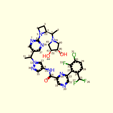 CC([C@@H]1CCN1c1ncc(C(C)n2cc(NC(=O)c3cncc(-c4c(C(F)F)ccc(Cl)c4F)n3)cn2)cn1)N1C[C@@H](O)[C@@H](O)C1